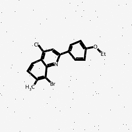 CCOc1ccc(-c2cc(Cl)c3ccc(C)c(Br)c3n2)cc1